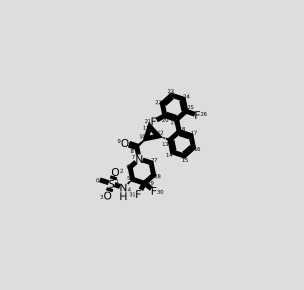 CS(=O)(=O)N[C@@H]1CN(C(=O)[C@H]2C[C@@H]2c2ccccc2-c2c(F)cccc2F)CCC1(F)F